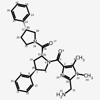 Cc1c(C(=O)N2C[C@@H](c3ccccc3)C[C@H]2C(=O)N2CC[C@H](c3ccccc3)C2)nc(CN)n1C